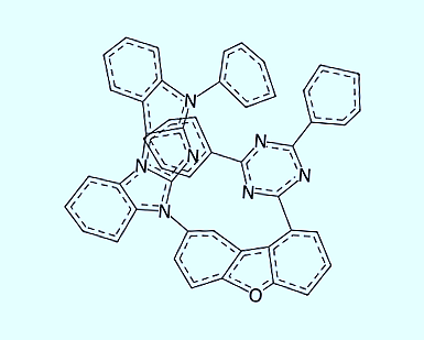 c1ccc(-c2nc(-c3ccccc3)nc(-c3cccc4oc5ccc(-n6c7ccccc7n7c8c9ccccc9n(-c9ccccc9)c8nc67)cc5c34)n2)cc1